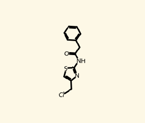 O=C(Cc1ccccc1)Nc1nc(CCl)cs1